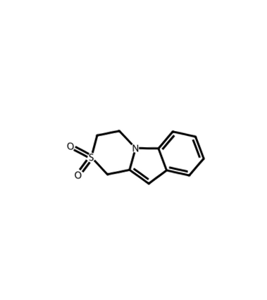 O=S1(=O)CCn2c(cc3ccccc32)C1